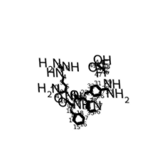 N=C(N)NCCCC(NC(=O)[C@H](Cc1ccccc1)NC(=O)[C@@H](Cc1ccc(C(=N)N)cc1)c1cccnc1)C(N)=O.O=C(O)C(F)(F)F